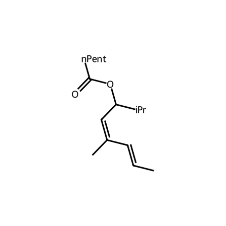 CC=CC(C)=CC(OC(=O)CCCCC)C(C)C